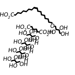 O=C(O)CCCCC(=O)O.O=C(O)CCCCCCC/C=C\CCCCCCCCOC[C@H](O)[C@H](O)CO.OC[C@@H](O)[C@@H](O)CO.OC[C@@H](O)[C@@H](O)CO.OC[C@@H](O)[C@@H](O)CO.OC[C@@H](O)[C@@H](O)CO